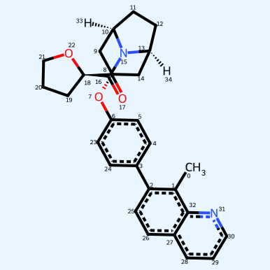 Cc1c(-c2ccc(O[C@@H]3C[C@H]4CC[C@@H](C3)N4C(=O)[C@H]3CCCO3)cc2)ccc2cccnc12